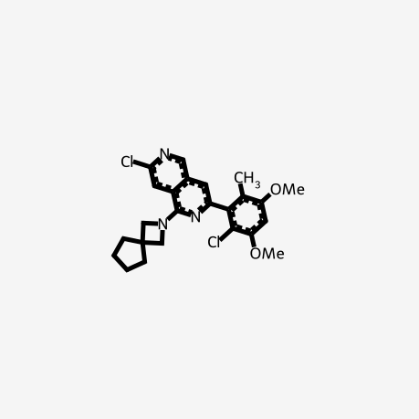 COc1cc(OC)c(Cl)c(-c2cc3cnc(Cl)cc3c(N3CC4(CCCC4)C3)n2)c1C